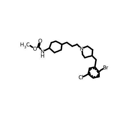 COC(=O)NC1CCC(CCCN2CCC(Cc3cc(Cl)ccc3Br)CC2)CC1